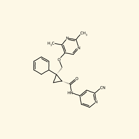 Cc1ncc(OC[C@@]2(C3C=CC=CC3)C[C@H]2C(=O)Nc2ccnc(C#N)c2)c(C)n1